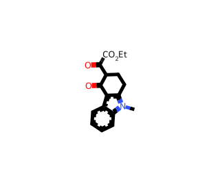 CCOC(=O)C(=O)C1CCc2c(c3ccccc3n2C)C1=O